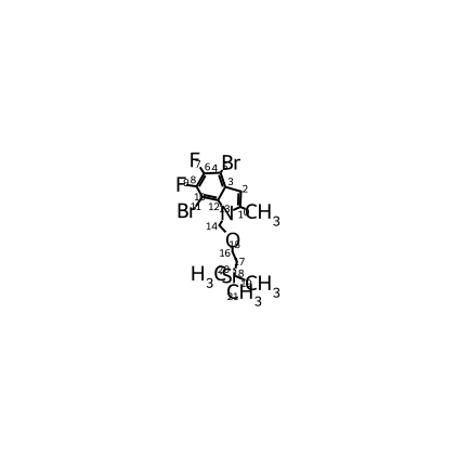 Cc1cc2c(Br)c(F)c(F)c(Br)c2n1COCC[Si](C)(C)C